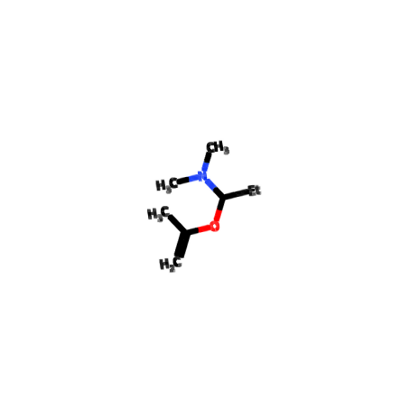 C=C(C)OC(CC)N(C)C